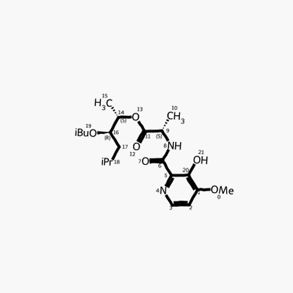 COc1ccnc(C(=O)N[C@@H](C)C(=O)O[C@@H](C)[C@@H](CC(C)C)OCC(C)C)c1O